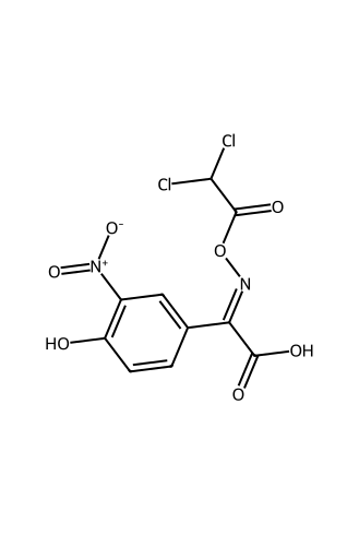 O=C(O)/C(=N/OC(=O)C(Cl)Cl)c1ccc(O)c([N+](=O)[O-])c1